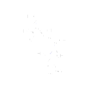 C/C=C/[C@@H]1O[C@H]([C@H](O)/C=C/C=C(\C)C[C@@H](C)/C=C(C)\C=C\[C@H]2CC=CC(=O)O2)CC(=O)[C@@H]1C